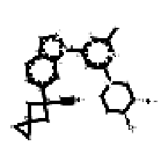 Cc1nc(N2CC[C@H](O)[C@@H](F)C2)cc(-n2ncc3ccc(C4(C#N)CC5(CC5)C4)cc32)n1